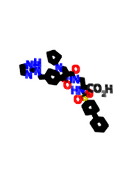 O=C(NCC(NS(=O)(=O)c1ccc(-c2ccccc2)cc1)C(=O)O)c1cn(C2CCCC2)c2cc(CNc3ncc[nH]3)ccc2c1=O